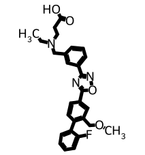 CCN(CCC(=O)O)Cc1cccc(-c2noc(-c3ccc(-c4ccccc4F)c(COC)c3)n2)c1